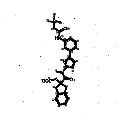 CN(C(=O)C1(CC(=O)[O-])Cc2ccccc2C1)c1nc(-c2cccc(NC(=O)C[N+](C)(C)C)c2)cs1